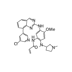 C=CC(=O)Nc1cc(Nc2ncc3cccc(-c4cncc(Cl)c4)c3n2)c(OC)cc1N(C)C1CCN(C)C1